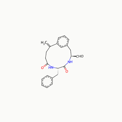 C=C1CCC(=O)N[C@@H](Cc2ccccc2)C(=O)N[C@H](C=O)Cc2cccc1c2